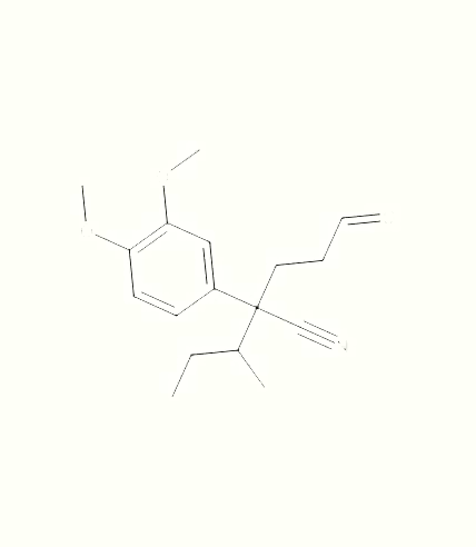 CCC(C)C(C#N)(CCC=O)c1ccc(OC)c(OC)c1